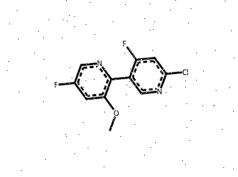 COc1cc(F)cnc1-c1cnc(Cl)cc1F